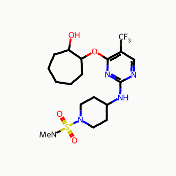 CNS(=O)(=O)N1CCC(Nc2ncc(C(F)(F)F)c(OC3CCCCCC3O)n2)CC1